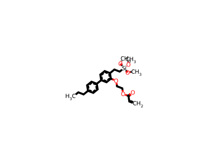 C=CC(=O)OCCOc1cc(-c2ccc(CCC)cc2)ccc1CC[Si](OC)(OC)OC